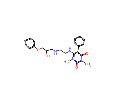 Cn1c(NCCNCC(O)COc2ccccc2)c(-c2ccccc2)c(=O)n(C)c1=O